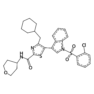 O=C(NC1CCOCC1)c1nc(CC2CCCCC2)c(-c2cn(S(=O)(=O)c3ccccc3Cl)c3ccccc23)s1